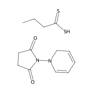 CCCC(=S)S.O=C1CCC(=O)N1N1C=CC=CC1